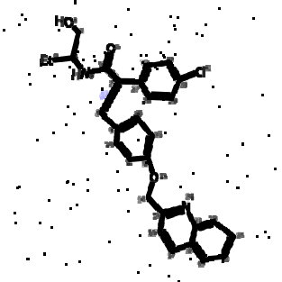 CCC(CO)NC(=O)/C(=C/c1ccc(OCc2ccc3ccccc3n2)cc1)c1ccc(Cl)cc1